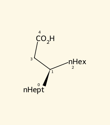 CCCCCCC[C@H](CCCCCC)CC(=O)O